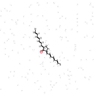 C/C=C/C=C/C=C/C=C1\CC\C(=C/C=C/C=C/C=C/C)C1=O